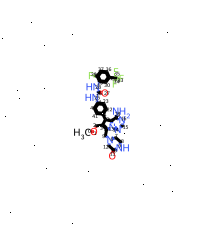 COCC1=C(CN2CCNC(=O)C2)N2N=CN=C(N)C2C1c1ccc(NC(=O)Nc2cc(C(F)(F)F)ccc2F)cc1